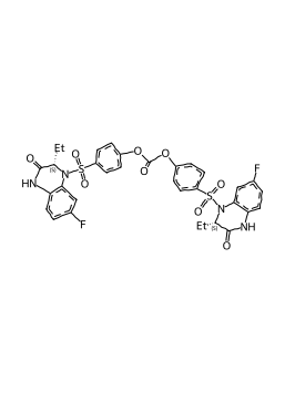 CC[C@H]1C(=O)Nc2ccc(F)cc2N1S(=O)(=O)c1ccc(OC(=O)Oc2ccc(S(=O)(=O)N3c4cc(F)ccc4NC(=O)[C@@H]3CC)cc2)cc1